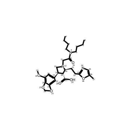 CCCCN(CCCC)C(=O)CN1C[C@H](c2cc(OC)c3c(c2)OCO3)[C@@H](C(=O)O)[C@@H]1CCc1ncc(C)o1